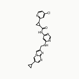 O=C(Nc1cc(NCc2cn3cc(C4CC4)cnc3n2)ncn1)C1CC1c1cc(Cl)ccn1